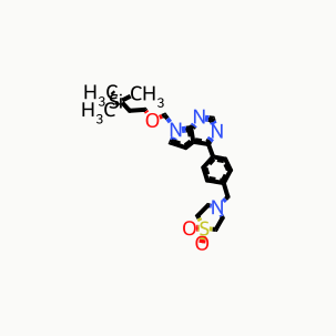 C[Si](C)(C)CCOCn1ccc2c(-c3ccc(CN4CCS(=O)(=O)CC4)cc3)ncnc21